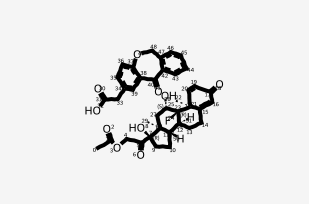 CC(=O)OCC(=O)[C@@]1(O)CC[C@H]2[C@@H]3CCC4=CC(=O)C=C[C@]4(C)[C@@]3(F)[C@@H](O)C[C@@]21C.O=C(O)Cc1ccc2c(c1)C(=O)c1ccccc1CO2